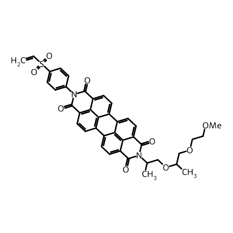 C=CS(=O)(=O)c1ccc(N2C(=O)c3ccc4c5ccc6c7c(ccc(c8ccc(c3c48)C2=O)c75)C(=O)N(C(C)COC(C)COCCOC)C6=O)cc1